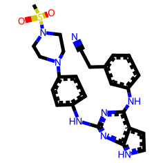 CS(=O)(=O)N1CCN(c2ccc(Nc3nc(Nc4cccc(CC#N)c4)c4cc[nH]c4n3)cc2)CC1